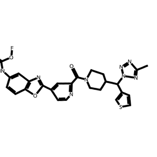 Cc1nnn(C(c2ccsc2)C2CCN(C(=O)c3cc(-c4nc5cc(NC(=O)OF)ccc5o4)ccn3)CC2)n1